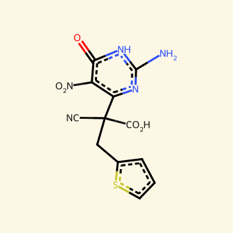 N#CC(Cc1cccs1)(C(=O)O)c1nc(N)[nH]c(=O)c1[N+](=O)[O-]